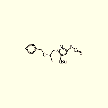 CC(Cn1nc(N=C=S)cc1C(C)(C)C)OCc1ccccc1